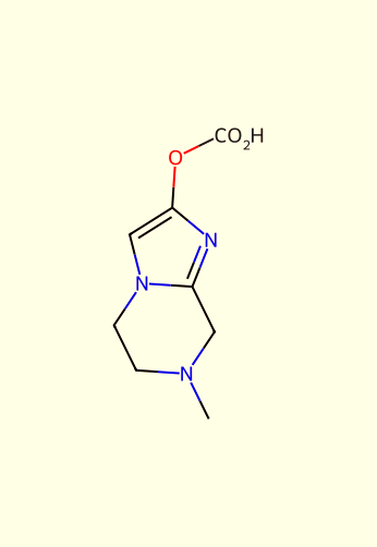 CN1CCn2cc(OC(=O)O)nc2C1